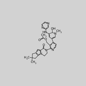 CC(=O)OCc1c(C2=CN(C)C(O)C(Nc3cnccn3)=C2)ccnc1N1CCn2c(cc3c2CC(C)(C)C3)C1=O